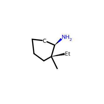 CC[C@@]1(C)CCCC[C@H]1N